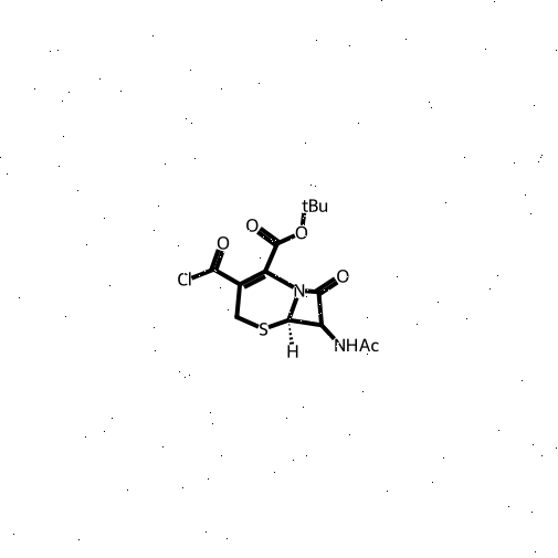 CC(=O)NC1C(=O)N2C(C(=O)OC(C)(C)C)=C(C(=O)Cl)CS[C@H]12